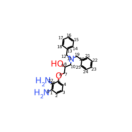 Nc1cccc(OCC(O)CN(Cc2ccccc2)Cc2ccccc2)c1N